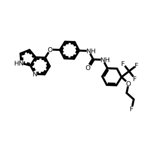 O=C(NC1=CC=CC(OCCF)(C(F)(F)F)C1)Nc1ccc(Oc2ccnc3[nH]ccc23)cc1